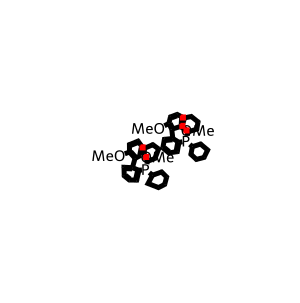 COc1cccc(OC)c1-c1ccccc1P(C1CCCCC1)C1CCCCC1.COc1cccc(OC)c1-c1ccccc1P(C1CCCCC1)C1CCCCC1